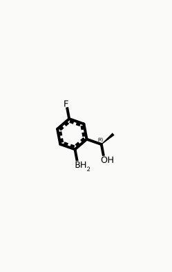 Bc1ccc(F)cc1[C@@H](C)O